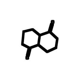 O=C1CCCC2C(=O)CCCC12